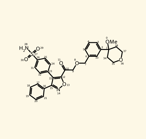 COC1(c2cccc(COCC(=O)c3onc(-c4ccccc4)c3-c3ccc(S(N)(=O)=O)cc3)c2)CCOCC1